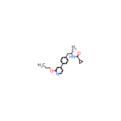 CCCOc1cc(-c2ccc(CC(C)NC(=O)C3CC3)cc2)ccn1